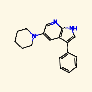 c1ccc(-c2c[nH]c3ncc(N4CCCCC4)cc23)cc1